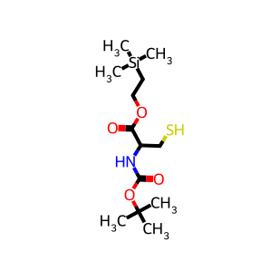 CC(C)(C)OC(=O)NC(CS)C(=O)OCC[Si](C)(C)C